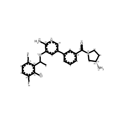 CC(Oc1cc(-c2cccc(C(=O)N3CC[C@H](N)C3)c2)cnc1N)c1c(F)ccc(F)c1Cl